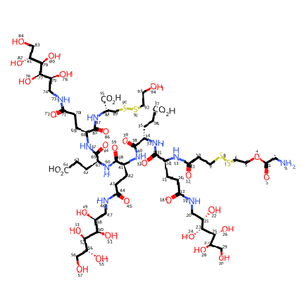 NCC(=O)OCCSSCCC(=O)N[C@@H](CCC(=O)NC[C@H](O)[C@@H](O)[C@H](O)[C@H](O)CO)C(=O)N[C@@H](CCC(=O)O)C(=O)N[C@@H](CCC(=O)NC[C@H](O)[C@@H](O)[C@H](O)[C@H](O)CO)C(=O)N[C@@H](CCC(=O)O)C(=O)N[C@@H](CCC(=O)NC[C@H](O)[C@@H](O)[C@H](O)[C@H](O)CO)C(=O)N[C@@H](CSSCCO)C(=O)O